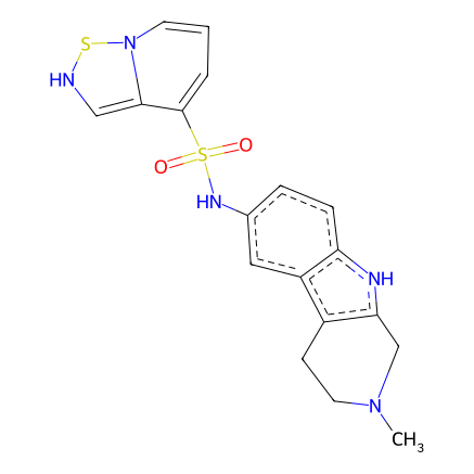 CN1CCc2c([nH]c3ccc(NS(=O)(=O)C4=CC=CN5SNC=C45)cc23)C1